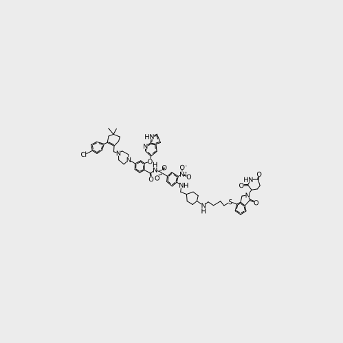 CC1(C)CCC(CN2CCN(c3ccc(C(=O)NS(=O)(=O)c4ccc(NCC5CCC(NCCCCSc6cccc7c6CN(C6CCC(=O)NC6=O)C7=O)CC5)c([N+](=O)[O-])c4)c(Oc4cnc5[nH]ccc5c4)c3)CC2)=C(c2ccc(Cl)cc2)C1